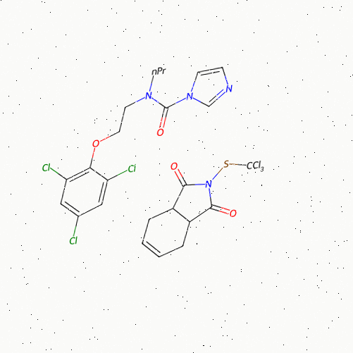 CCCN(CCOc1c(Cl)cc(Cl)cc1Cl)C(=O)n1ccnc1.O=C1C2CC=CCC2C(=O)N1SC(Cl)(Cl)Cl